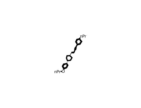 CCCOc1ccc([C@H]2CC[C@H](/C=C/C#Cc3ccc(CCC)cc3)CC2)cc1